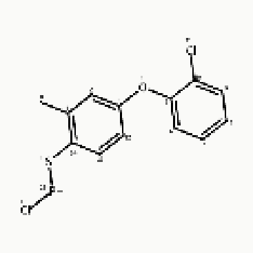 Cc1cc(Oc2ccccc2Cl)ccc1SPCl